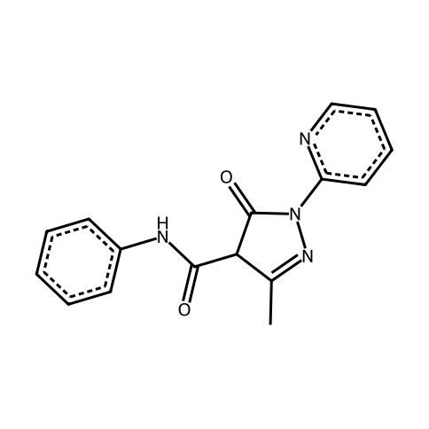 CC1=NN(c2ccccn2)C(=O)C1C(=O)Nc1ccccc1